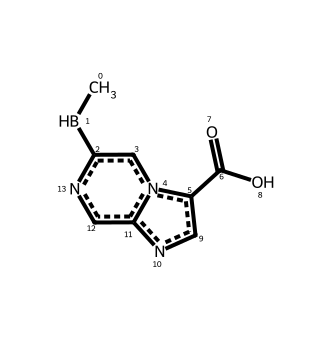 CBc1cn2c(C(=O)O)cnc2cn1